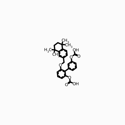 CC1(C)CCC(C)(C)c2cc(COc3cccc(OC(=O)O)c3-c3cccc(OC(=O)O)c3)ccc21